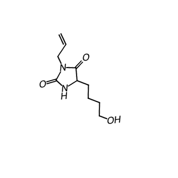 C=CCN1C(=O)NC(CCCCO)C1=O